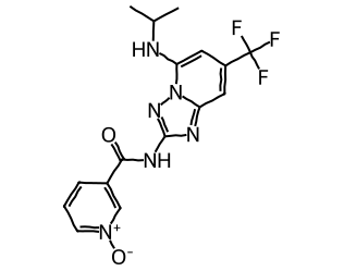 CC(C)Nc1cc(C(F)(F)F)cc2nc(NC(=O)c3ccc[n+]([O-])c3)nn12